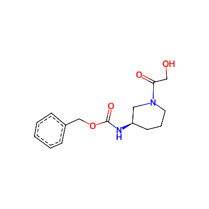 O=C(N[C@@H]1CCCN(C(=O)CO)C1)OCc1ccccc1